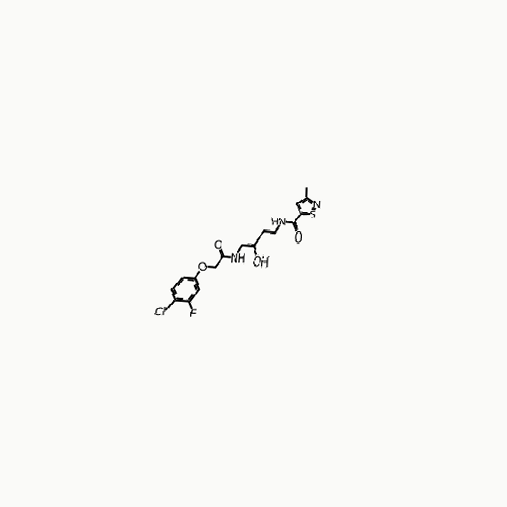 Cc1cc(C(=O)NCCC(O)CNC(=O)COc2ccc(Cl)c(F)c2)sn1